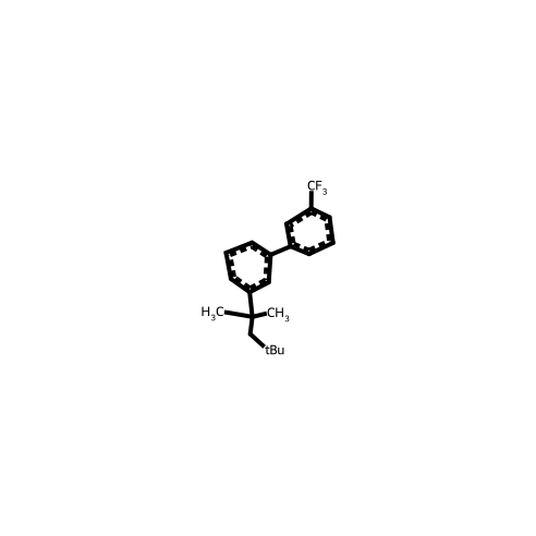 CC(C)(C)CC(C)(C)c1cccc(-c2cccc(C(F)(F)F)c2)c1